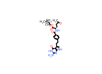 CC(=O)CC[C@@H](NC(=O)c1ccc(CCc2c[nH]c3nc(N)[nH]c(=O)c23)cc1)C(=O)OCC[Si](C)(C)C